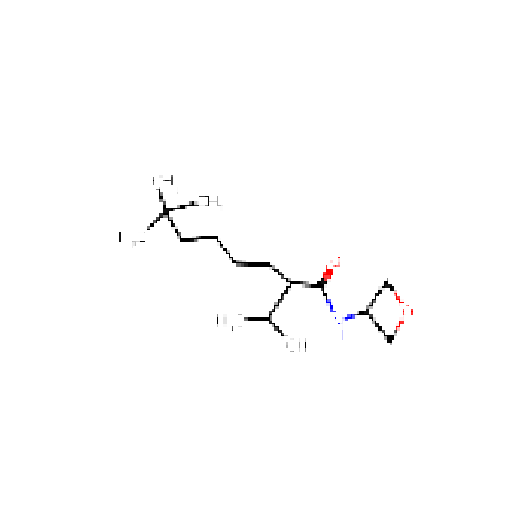 CC(C)C(CCCCC(C)(C)C)C(=O)NC1COC1